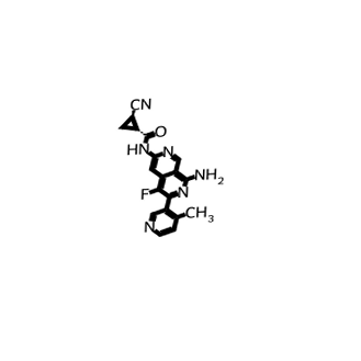 Cc1ccncc1-c1nc(N)c2cnc(NC(=O)[C@@H]3C[C@H]3C#N)cc2c1F